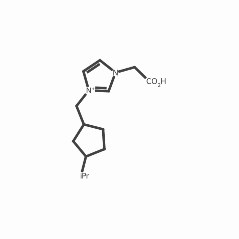 CC(C)C1CCC(C[n+]2ccn(CC(=O)O)c2)C1